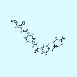 CC(=O)N1CCN(Cc2ccc(C(=O)/C=C/c3ccc(/C=C/C(=O)CO)cc3)cc2)CC1